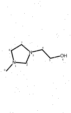 CN1[C]N(CCO)CC1